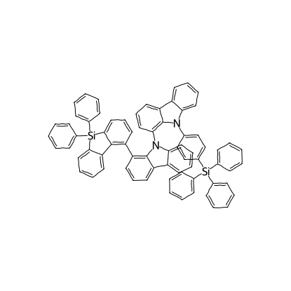 c1ccc([Si](c2ccccc2)(c2ccccc2)c2ccc(-n3c4ccccc4c4cccc(-n5c6ccccc6c6cccc(-c7cccc8c7-c7ccccc7[Si]8(c7ccccc7)c7ccccc7)c65)c43)cc2)cc1